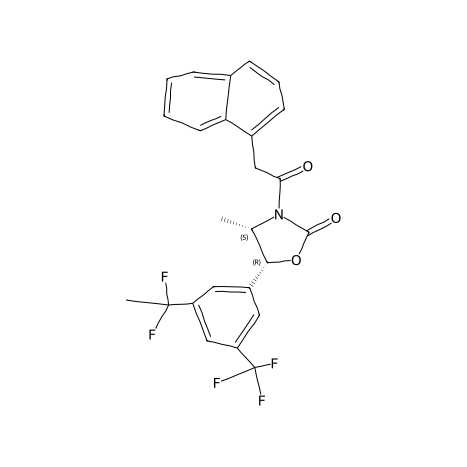 C[C@H]1[C@@H](c2cc(C(C)(F)F)cc(C(F)(F)F)c2)OC(=O)N1C(=O)Cc1cccc2ccccc12